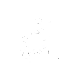 COc1nn(C)cc1C(=O)N[S@@]1(=O)=NC(=O)c2ccc3c(c2)N(C[C@@H]2CC[C@H]2[C@@H](OC(=O)CCN2CCOCC2)/C=C/C[C@H](C)C1)C[C@@]1(CCCc2cc(Cl)ccc21)CO3